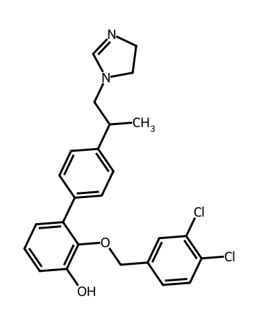 CC(CN1C=NCC1)c1ccc(-c2cccc(O)c2OCc2ccc(Cl)c(Cl)c2)cc1